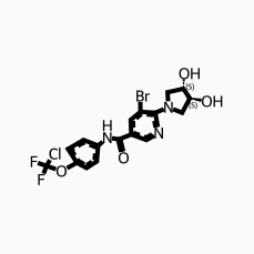 O=C(Nc1ccc(OC(F)(F)Cl)cc1)c1cnc(N2C[C@H](O)[C@@H](O)C2)c(Br)c1